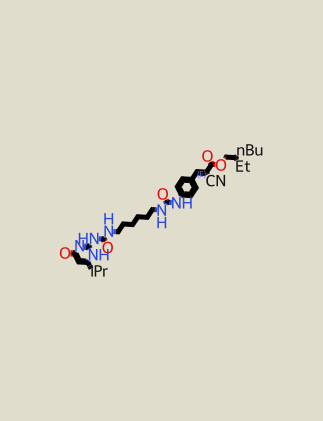 CCCCC(CC)COC(=O)/C(C#N)=C/c1ccc(NC(=O)NCCCCCCNC(=O)Nc2nc(=O)cc(C(C)C)[nH]2)cc1